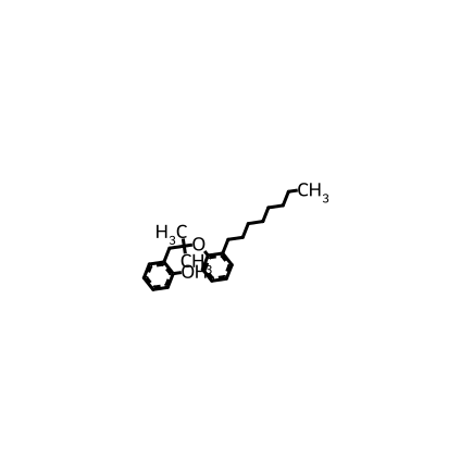 CCCCCCCCc1ccccc1OC(C)(C)Cc1ccccc1O